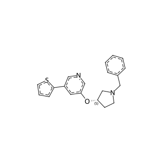 c1ccc(CN2CC[C@H](Oc3cncc(-c4cccs4)c3)C2)cc1